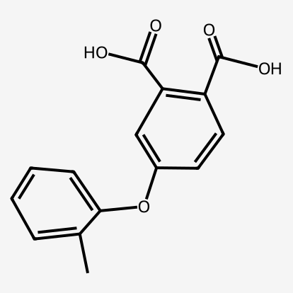 Cc1ccccc1Oc1ccc(C(=O)O)c(C(=O)O)c1